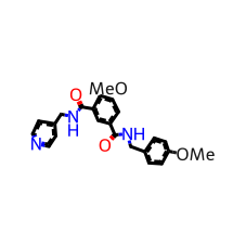 COc1ccc(CNC(=O)c2ccc(OC)c(C(=O)NCc3ccncc3)c2)cc1